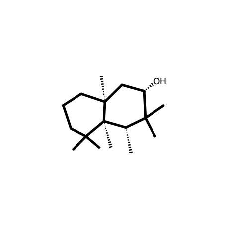 C[C@H]1C(C)(C)[C@@H](O)C[C@]2(C)CCCC(C)(C)[C@]12C